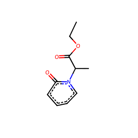 CCOC(=O)C(C)n1ccccc1=O